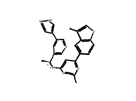 Cc1nc(N[C@@H](C)c2cncc(-c3cn[nH]c3)c2)cc(-c2ccc3occ(C)c3c2)n1